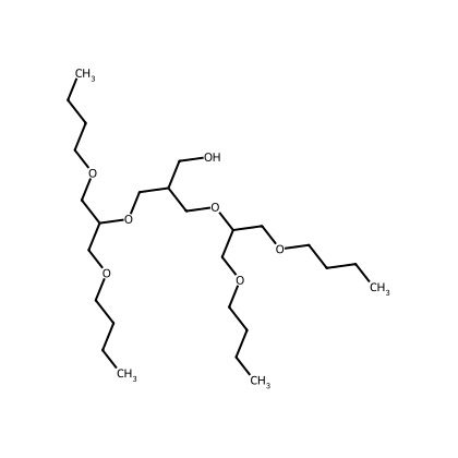 CCCCOCC(COCCCC)OCC(CO)COC(COCCCC)COCCCC